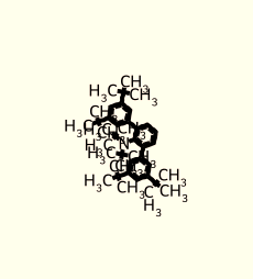 CC(C)(C)c1cc(-c2cccc(-c3cc(C(C)(C)C)cc(C(C)(C)C)c3)c2N(C(C)(C)C)C(C)(C)C)cc(C(C)(C)C)c1